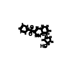 O=S(=O)(c1ccccc1)c1cnc2c(N3CC[C@H](O)C3)cccc2c1